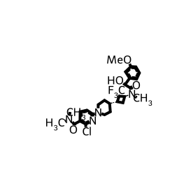 COc1cccc(C(O)(C(=O)N(C)[C@H]2C[C@@H](C3CCN(c4ccc(C(=O)N(C)C)c(Cl)n4)CC3)C2)C(F)(F)F)c1